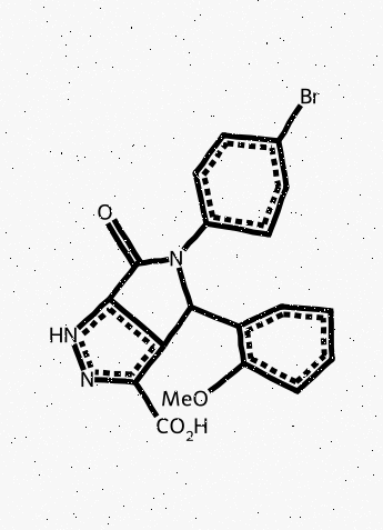 COc1ccccc1C1c2c(C(=O)O)n[nH]c2C(=O)N1c1ccc(Br)cc1